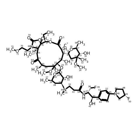 CC[C@H]1OC(=O)[C@H](C)C([C@H]2C[C@@](C)(OC)[C@@H](O)[C@H](C)O2)[C@H](C)[C@@H](O[C@@H]2O[C@H](C)C[C@H](N(C)CCC(=O)N[C@H](CF)[C@H](O)c3ccc(N4CC[C@H](F)C4)cc3)[C@H]2O)[C@](C)(OC)C[C@@H](C)C(=O)[C@H](C)[C@H]2N(CCOC)C(=O)O[C@]12C